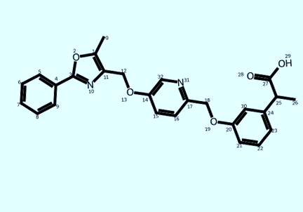 Cc1oc(-c2ccccc2)nc1COc1ccc(COc2cccc(C(C)C(=O)O)c2)nc1